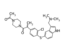 C=C(C(=O)N1CCN(C(C)=O)CC1)c1ccc(Sc2ccc3[nH]cc(CN(C)C)c3c2)c(Cl)c1